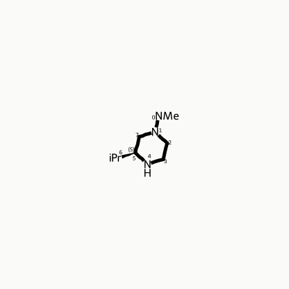 CNN1CCN[C@@H](C(C)C)C1